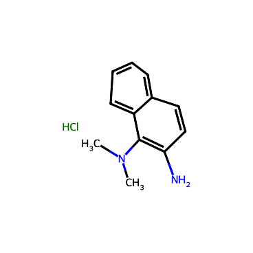 CN(C)c1c(N)ccc2ccccc12.Cl